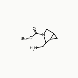 CC(C)(C)OC(=O)N1CC2CC2C1CN